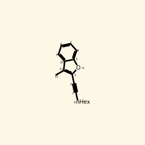 CCCCCCC#Cc1oc2ccccc2c1C